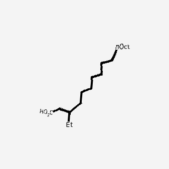 CCCCCCCCCCCCCCCC(CC)CC(=O)O